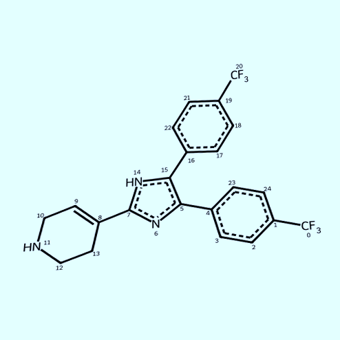 FC(F)(F)c1ccc(-c2nc(C3=CCNCC3)[nH]c2-c2ccc(C(F)(F)F)cc2)cc1